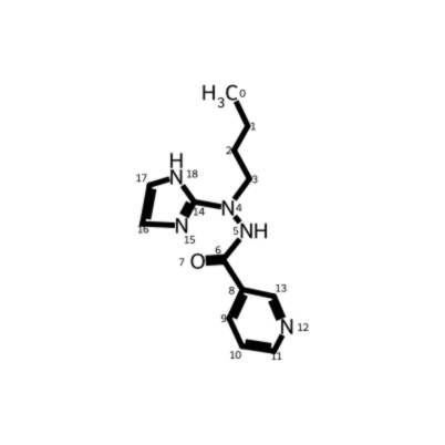 CCCCN(NC(=O)c1cccnc1)c1ncc[nH]1